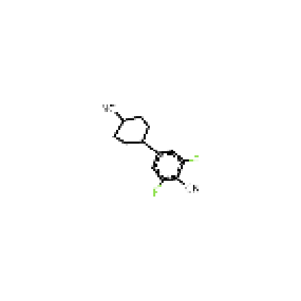 N#Cc1c(F)cc(C2CCC(C#N)CC2)cc1F